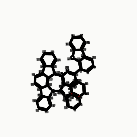 c1ccc(-c2nc(-c3cccc4c3oc3ccccc34)nc(-n3c4ccccc4c4ccc5c6ccccc6n(-c6nc7ccccc7s6)c5c43)n2)cc1